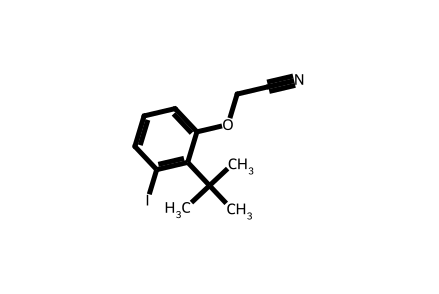 CC(C)(C)c1c(I)cccc1OCC#N